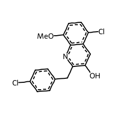 COc1ccc(Cl)c2cc(O)c(Cc3ccc(Cl)cc3)nc12